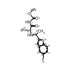 CC(C)OC(=O)NC(=O)[C@@H](NC(C)c1cc2cc(F)ccc2s1)C(C)C